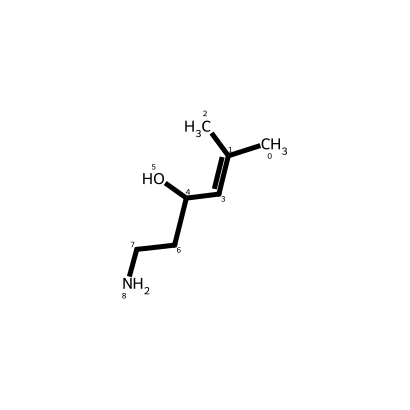 CC(C)=CC(O)CCN